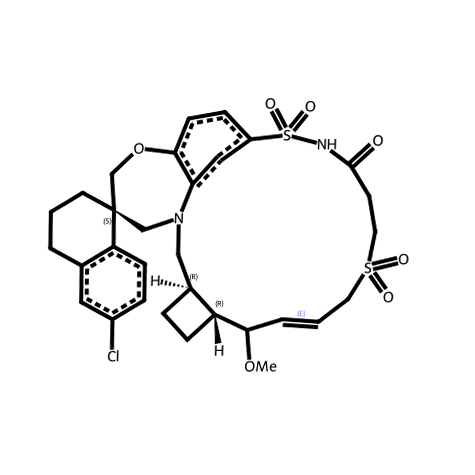 COC1/C=C/CS(=O)(=O)CCC(=O)NS(=O)(=O)c2ccc3c(c2)N(C[C@@H]2CC[C@@H]12)C[C@@]1(CCCc2cc(Cl)ccc21)CO3